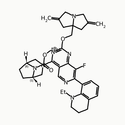 C=C1CN2CC(=C)CC2(COc2nc(N3C[C@H]4CC[C@@H](C3)N4C(=O)OC(C)(C)C)c3cnc(-c4cccc5c4N(CC)CCC5)c(F)c3n2)C1